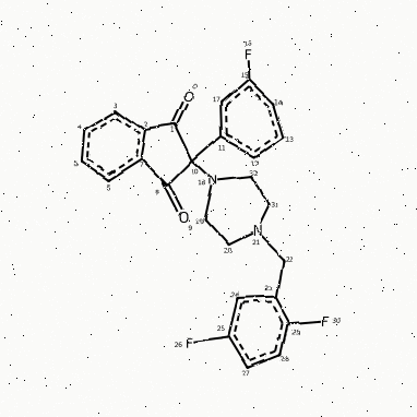 O=C1c2ccccc2C(=O)C1(c1cccc(F)c1)N1CCN(Cc2cc(F)ccc2F)CC1